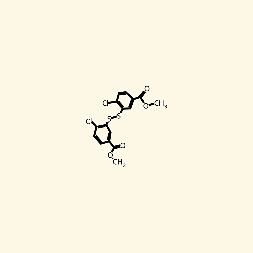 COC(=O)c1ccc(Cl)c(SSc2cc(C(=O)OC)ccc2Cl)c1